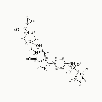 Cc1noc(C)c1S(=O)(=O)Nc1ccc(-n2ncc3c(=O)n(CC4(O)CCN(C(=O)C5CC5)CC4)cnc32)cc1